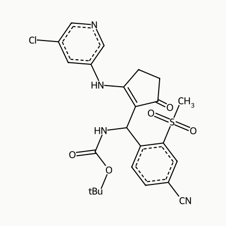 CC(C)(C)OC(=O)NC(C1=C(Nc2cncc(Cl)c2)CCC1=O)c1ccc(C#N)cc1S(C)(=O)=O